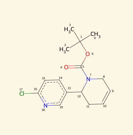 CC(C)(C)OC(=O)N1CC=CCC1c1ccc(Cl)nc1